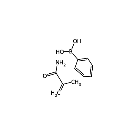 C=C(C)C(N)=O.OB(O)c1ccccc1